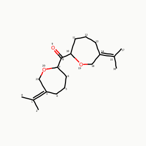 CC(C)=C1CCCC(C(=O)C2CCCC(=C(C)C)CO2)OC1